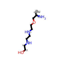 CCC(C)C(N)COCCNCCNCCO